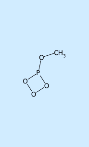 COP1OOO1